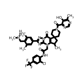 Cc1cc(-c2nc3n(CC(=O)Nc4ccc(C(F)(F)F)cc4Cl)c4c(c(=O)n3n2)C2(CCN(C(=O)c3ncnc(C)c3O)CC2)CC4C)cc(C)c1CN(C)C